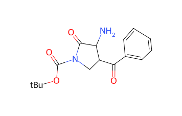 CC(C)(C)OC(=O)N1CC(C(=O)c2ccccc2)C(N)C1=O